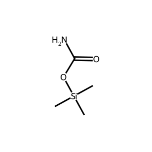 C[Si](C)(C)OC(N)=O